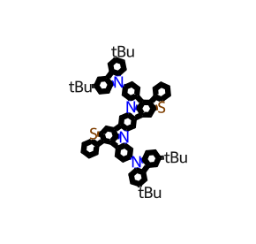 CC(C)(C)c1ccc2c(c1)c1cc(C(C)(C)C)ccc1n2-c1ccc2c3c4c(cc5c6cc7c(cc6n(c2c1)c53)c1cc2sc3ccccc3c2c2c3ccc(-n5c6ccc(C(C)(C)C)cc6c6cc(C(C)(C)C)ccc65)cc3n7c12)sc1ccccc14